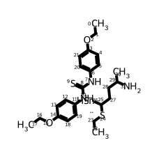 CCOc1ccc(NC(=S)Nc2ccc(OCC)cc2)cc1.CCS[CH]([SnH])CCC(C)N